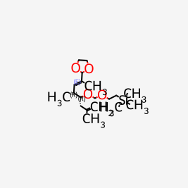 C=C(C)C[C@@H](OCOCC[Si](C)(C)C)[C@H](C)/C=C(\C)C1OCCO1